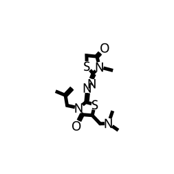 C=C(C)CN1C(=O)C(CN(C)C)SC1=NN=C1SCC(=O)N1C